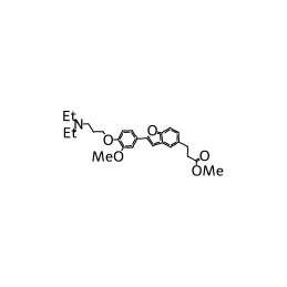 CCN(CC)CCCOc1ccc(-c2cc3cc(CCC(=O)OC)ccc3o2)cc1OC